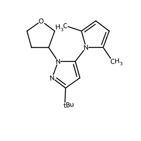 Cc1ccc(C)n1-c1cc(C(C)(C)C)nn1C1CCOC1